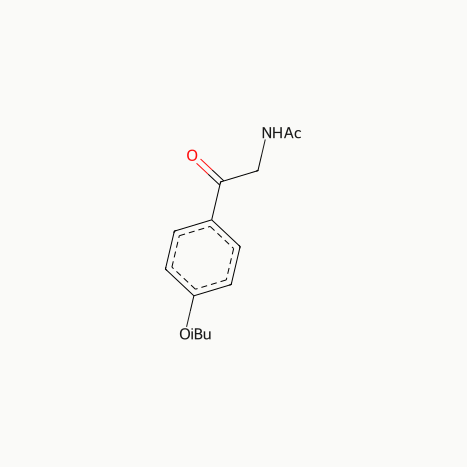 CC(=O)NCC(=O)c1ccc(OCC(C)C)cc1